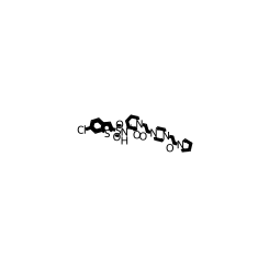 O=C(CN1CCN(C(=O)CN2CCC[C@H](NS(=O)(=O)c3cc4ccc(Cl)cc4s3)C2=O)CC1)N1CCCC1